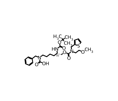 COCCN(Cc1cccs1)C(=O)OC[C@H](CCCCN(Cc1ccccc1)C(=O)O)NC(=O)OC(C)(C)C